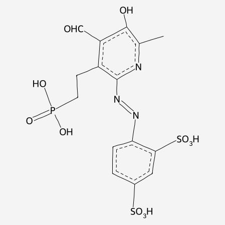 Cc1nc(/N=N/c2ccc(S(=O)(=O)O)cc2S(=O)(=O)O)c(CCP(=O)(O)O)c(C=O)c1O